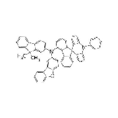 CC1(C)c2ccccc2-c2ccc(N(c3ccc4oc5ccccc5c4c3)c3cccc4c3-c3ccccc3C43c4ccccc4N(c4ccccc4)c4ccccc43)cc21